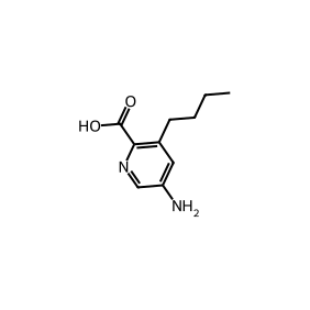 CCCCc1cc(N)cnc1C(=O)O